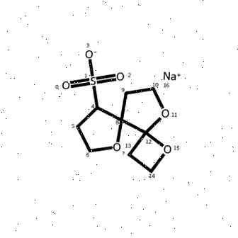 O=S(=O)([O-])C1CCOC12CCOC21CCO1.[Na+]